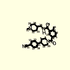 Cc1ccc(C(=O)N2CCC(c3ccc(C#N)cc3)CC2)cc1C(=O)NCC1CCN(C)CC1